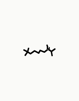 CC(C)N(C)CCCCCC(C)(C)C